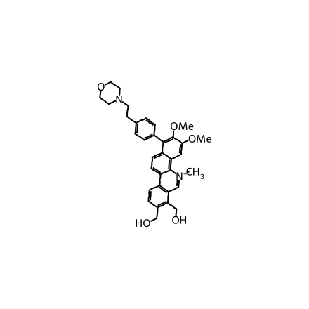 COc1cc2c(ccc3c4ccc(CO)c(CO)c4c[n+](C)c23)c(-c2ccc(CCN3CCOCC3)cc2)c1OC